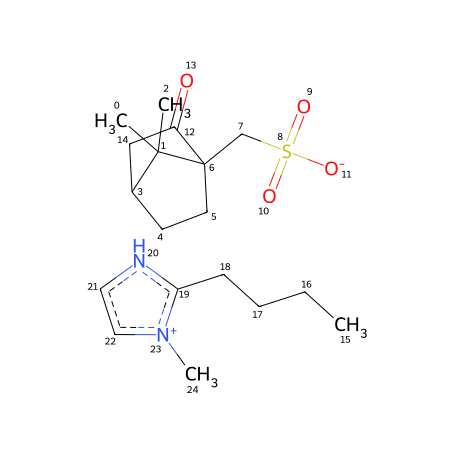 CC1(C)C2CCC1(CS(=O)(=O)[O-])C(=O)C2.CCCCc1[nH]cc[n+]1C